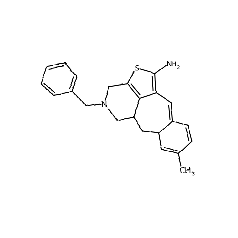 CC1=CC2CC3CN(Cc4ccccc4)Cc4sc(N)c(c43)C=C2C=C1